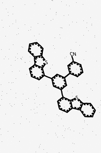 N#Cc1cccc(-c2cc(-c3cccc4c3sc3ccccc34)cc(-c3cccc4c3sc3ccccc34)c2)c1